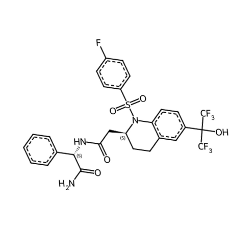 NC(=O)[C@@H](NC(=O)C[C@@H]1CCc2cc(C(O)(C(F)(F)F)C(F)(F)F)ccc2N1S(=O)(=O)c1ccc(F)cc1)c1ccccc1